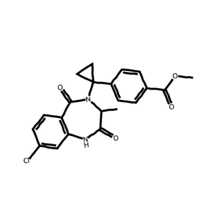 COC(=O)c1ccc(C2(N3C(=O)c4ccc(Cl)cc4NC(=O)C3C)CC2)cc1